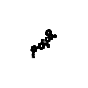 N#Cc1cccc(-c2ccc(C(=O)N3CC[C@@]4(C3)OC(=O)c3ccccc34)c(Cl)c2)c1